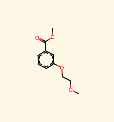 COCCOc1cccc(C(=O)OC)c1